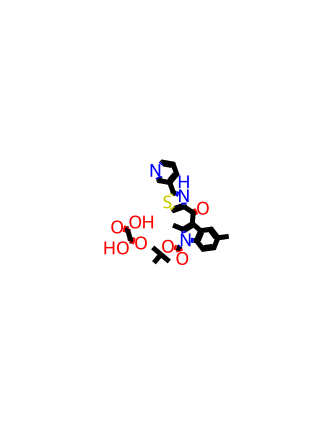 Cc1ccc2c(c1)c(C(=O)C1=CSC(c3cccnc3)N1)c(C)n2C(=O)OC(C)(C)C.O=C(O)C(=O)O